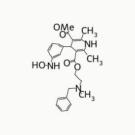 COC(=O)C1=C(C)NC(C)=C(C(=O)OCCN(C)Cc2ccccc2)C1c1cccc(NO)c1